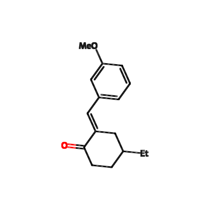 CCC1CCC(=O)C(=Cc2cccc(OC)c2)C1